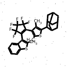 Cc1sc(C2C3CC4CC(C3)CC2C4)c(C)c1C1=C(c2c(C)sc3ccccc23)C(F)(F)C(F)(F)C1(F)F